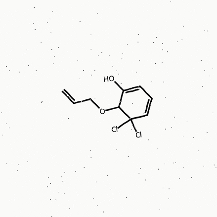 C=CCOC1C(O)=CC=CC1(Cl)Cl